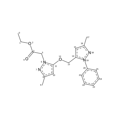 CCOC(=O)Cn1nc(C)cc1OCc1cc(C)nn1-c1ccccc1